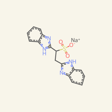 O=S(=O)([O-])C(Cc1nc2ccccc2[nH]1)c1nc2ccccc2[nH]1.[Na+]